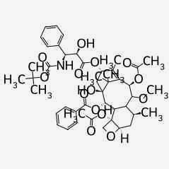 COC1C2[C@H]([C@H](OC(=O)c3ccccc3)[C@]3(O)C[C@H](OC(=O)[C@H](O)[C@@H](NC(=O)OC(C)(C)C)c4ccccc4)C(C)=C([C@H]1OC(C)=O)C3(C)C)[C@]1(OC(C)=O)CO[C@@H]1C[C@@H]2C